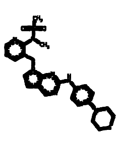 CN(c1ncccc1Cn1ccc2cnc(Nc3ccc(N4CCSCC4)cc3)nc21)S(C)(=O)=O